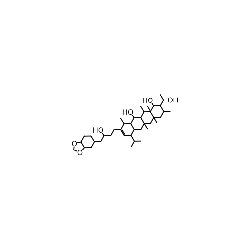 CC(C)C1C=C(CCC(O)CC2CCC3OCOC3C2)C(C)C2C(O)C3C(C)C4(C)C(O)C(C(C)O)C(C)CC4(C)CC3(C)CC12